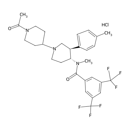 CC(=O)N1CCC(N2CC[C@@H](N(C)C(=O)c3cc(C(F)(F)F)cc(C(F)(F)F)c3)[C@H](c3ccc(C)cc3)C2)CC1.Cl